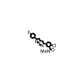 CNC(=O)c1cc(-c2cc3cc(-c4ccc(F)cc4)nn3cn2)ccc1Cl